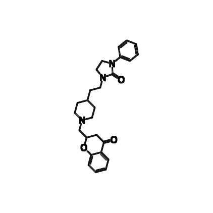 O=C1CC(CN2CCC(CCN3CCN(c4ccccc4)C3=O)CC2)Oc2ccccc21